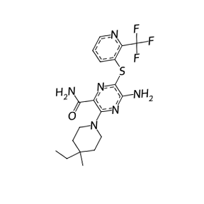 CCC1(C)CCN(c2nc(N)c(Sc3cccnc3C(F)(F)F)nc2C(N)=O)CC1